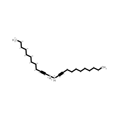 CCCCCCCCCC#CP[PH3]C#CCCCCCCCCC